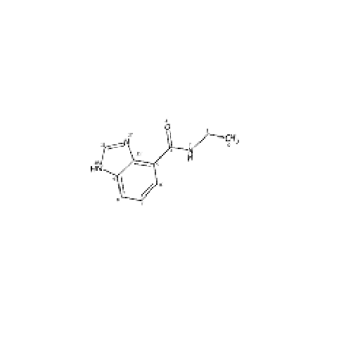 CCNC(=O)c1cccc2[nH]cnc12